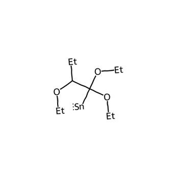 CCOC(CC)[C]([Sn])(OCC)OCC